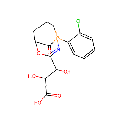 O=C(O)C(O)C(O)C1=N[PH]2(c3ccccc3Cl)CCCC(O1)C2=O